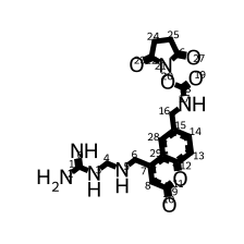 N=C(N)NCNCc1cc(=O)oc2ccc(CNC(=O)ON3C(=O)CCC3=O)cc12